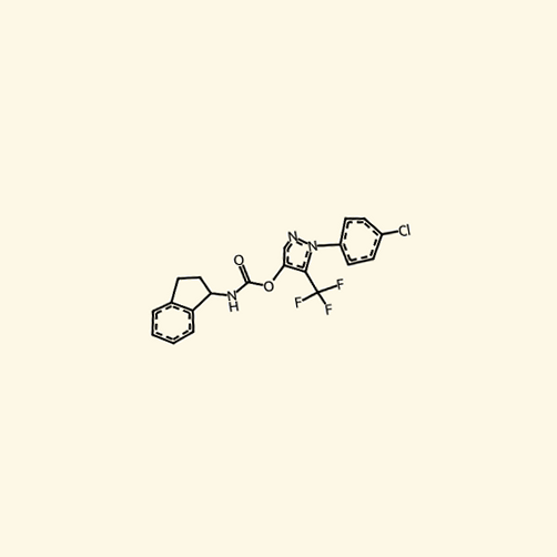 O=C(NC1CCc2ccccc21)Oc1cnn(-c2ccc(Cl)cc2)c1C(F)(F)F